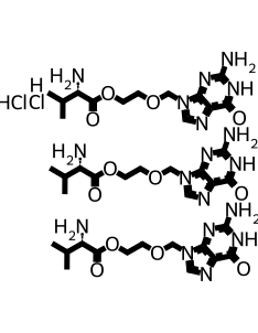 CC(C)[C@H](N)C(=O)OCCOCn1cnc2c(=O)[nH]c(N)nc21.CC(C)[C@H](N)C(=O)OCCOCn1cnc2c(=O)[nH]c(N)nc21.CC(C)[C@H](N)C(=O)OCCOCn1cnc2c(=O)[nH]c(N)nc21.Cl.Cl